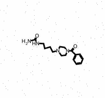 NC(=O)NCCCCN1CCN(C(=O)c2ccccc2)CC1